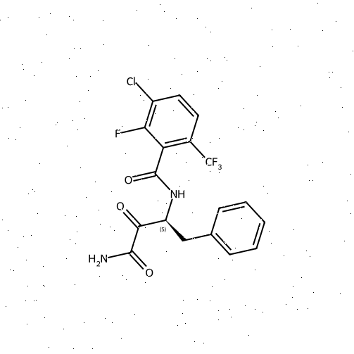 NC(=O)C(=O)[C@H](Cc1ccccc1)NC(=O)c1c(C(F)(F)F)ccc(Cl)c1F